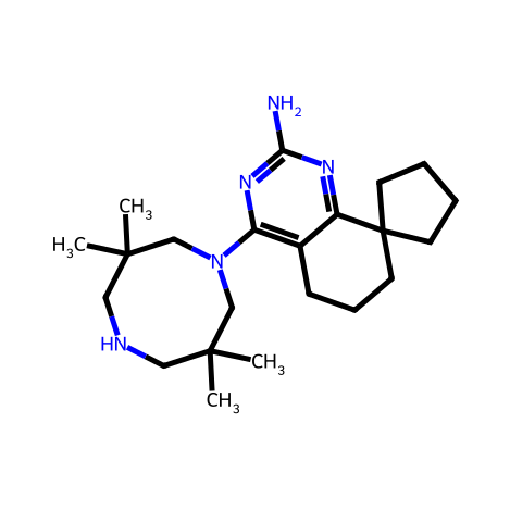 CC1(C)CNCC(C)(C)CN(c2nc(N)nc3c2CCCC32CCCC2)C1